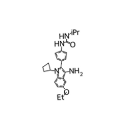 CCOc1ccc2c(c1)c(N)c(-c1ccc(NC(=O)NC(C)C)cc1)n2C1CCC1